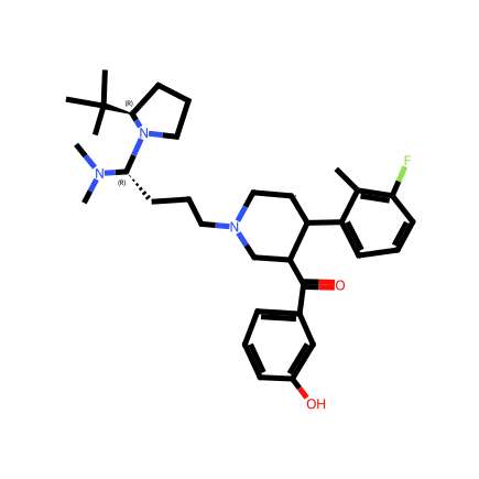 Cc1c(F)cccc1C1[CH]CN(CCC[C@H](N(C)C)N2CCC[C@@H]2C(C)(C)C)CC1C(=O)c1cccc(O)c1